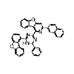 c1ccc(C2N=C(c3nc(-c4ccc5ccccc5c4)cc4oc5ccccc5c34)N=C(c3cccc4oc5ccccc5c34)N2)cc1